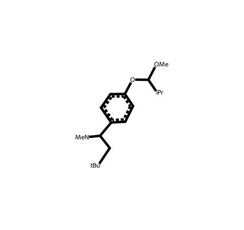 CNC(CC(C)(C)C)c1ccc(OC(OC)C(C)C)cc1